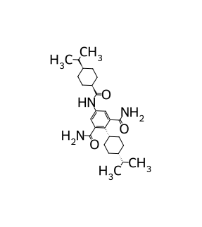 CC(C)[C@H]1CC[C@@H](C(=O)Nc2cc(C(N)=O)c([C@H]3CC[C@@H](C(C)C)CC3)c(C(N)=O)c2)CC1